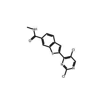 CNC(=O)c1ccc2cc(-c3nc(Cl)ncc3Cl)sc2c1